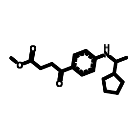 COC(=O)CCC(=O)c1ccc(NC(C)C2CCCC2)cc1